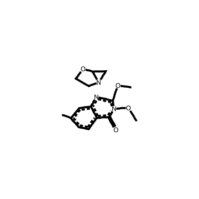 C1CN2CC2O1.COc1nc2cc(C)ccc2c(=O)n1OC